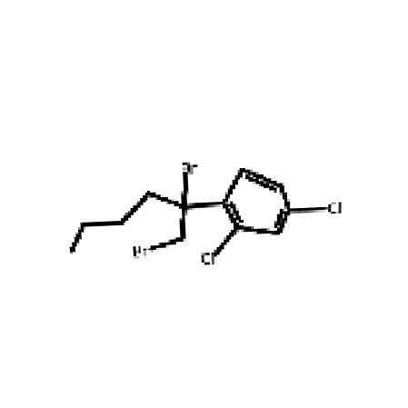 CCCCC(Br)(CBr)c1ccc(Cl)cc1Cl